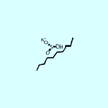 O=[S-](=O)O.[CH2]CCCCCCCCC.[K+]